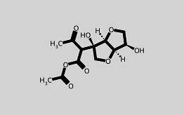 CC(=O)OC(=O)C(C(C)=O)[C@@]1(O)CO[C@@H]2[C@H](O)CO[C@@H]21